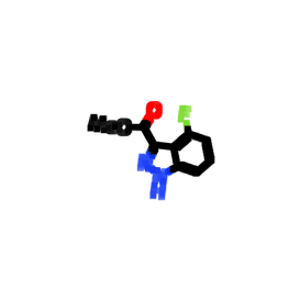 COC(=O)c1n[nH]c2cccc(F)c12